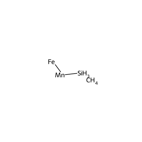 C.[SiH3][Mn][Fe]